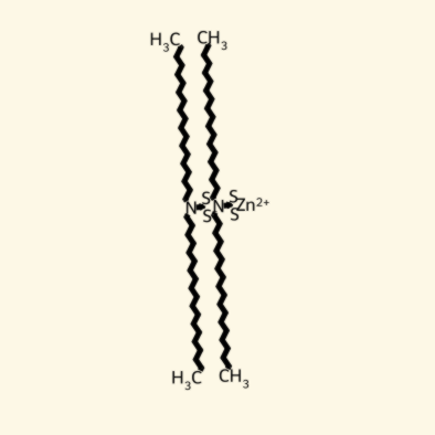 CCCCCCCCCCCCCCCCCCCN(CCCCCCCCCCCCCCCCCCC)C(=S)[S-].CCCCCCCCCCCCCCCCCCCN(CCCCCCCCCCCCCCCCCCC)C(=S)[S-].[Zn+2]